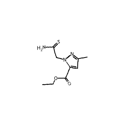 CCOC(=O)c1cc(C)nn1CC(N)=S